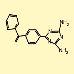 C=C(c1ccccc1)c1ccc(-c2nc(N)nc(N)n2)cc1